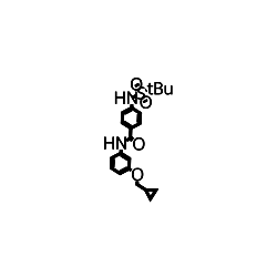 CC(C)(C)S(=O)(=O)Nc1ccc(C(=O)Nc2cccc(OCC3CC3)c2)cc1